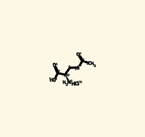 CC(=O)SC[C@H](N)C(=O)O.Cl